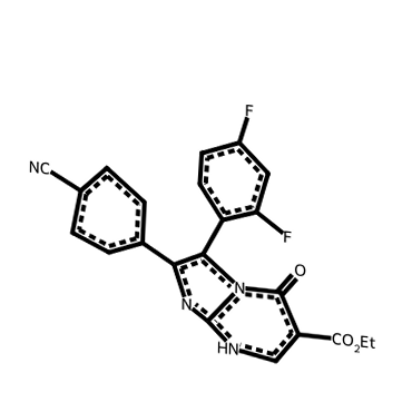 CCOC(=O)c1c[nH]c2nc(-c3ccc(C#N)cc3)c(-c3ccc(F)cc3F)n2c1=O